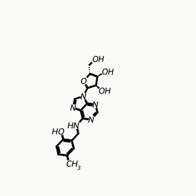 Cc1ccc(O)c(CNc2ncnc3c2ncn3C2O[C@H](CO)[C@@H](O)[C@H]2O)c1